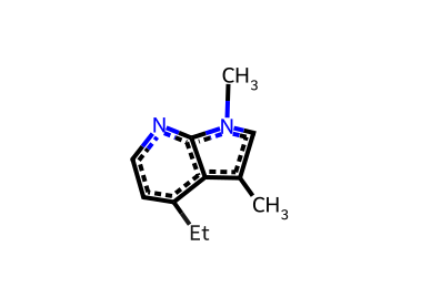 CCc1ccnc2c1c(C)cn2C